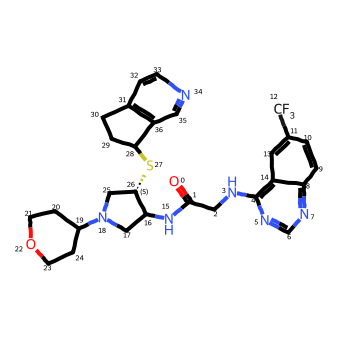 O=C(CNc1ncnc2ccc(C(F)(F)F)cc12)NC1CN(C2CCOCC2)C[C@@H]1SC1CCc2ccncc21